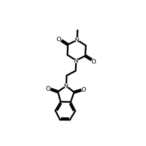 CN1CC(=O)N(CCN2C(=O)c3ccccc3C2=O)CC1=O